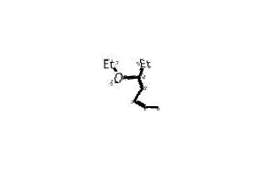 C/C=C\CC(CC)OCC